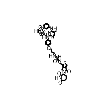 Cc1cnc(Nc2ccc(OCCCNCC(=O)NCc3scc4c3CN([C@H]3CCCC(=O)NC3=O)C4=O)cc2)nc1Nc1cccc(S(=O)(=O)NC(C)(C)C)c1